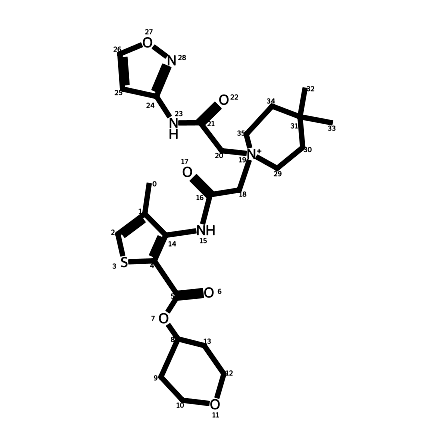 Cc1csc(C(=O)OC2CCOCC2)c1NC(=O)C[N+]1(CC(=O)Nc2ccon2)CCC(C)(C)CC1